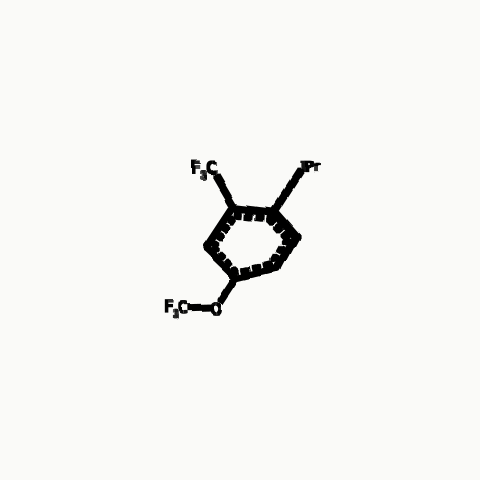 CC(C)c1ccc(OC(F)(F)F)cc1C(F)(F)F